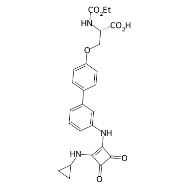 CCOC(=O)N[C@@H](COc1ccc(-c2cccc(Nc3c(NC4CC4)c(=O)c3=O)c2)cc1)C(=O)O